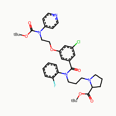 CC(C)(C)OC(=O)C1CCCN1CCCN(C(=O)c1cc(Cl)cc(OCCN(C(=O)OC(C)(C)C)c2ccncc2)c1)c1ccccc1F